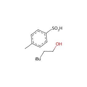 CCC(C)CCO.Cc1ccc(S(=O)(=O)O)cc1